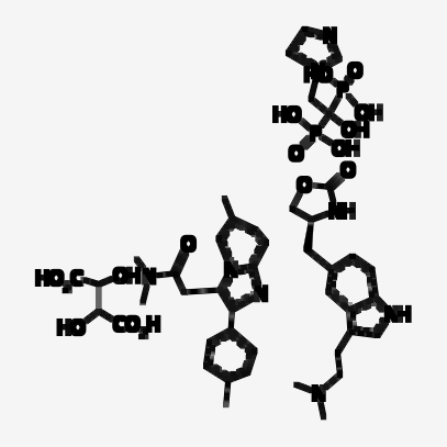 CN(C)CCc1c[nH]c2ccc(C[C@H]3COC(=O)N3)cc12.Cc1ccc(-c2nc3ccc(C)cn3c2CC(=O)N(C)C)cc1.O=C(O)C(O)C(O)C(=O)O.O=P(O)(O)C(O)(Cn1ccnc1)P(=O)(O)O